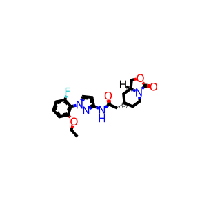 CCOc1cccc(F)c1-n1ccc(NC(=O)C[C@H]2CCN3C(=O)OC[C@H]3C2)n1